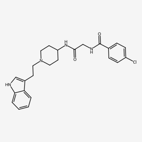 O=C(CNC(=O)c1ccc(Cl)cc1)NC1CCN(CCc2c[nH]c3ccccc23)CC1